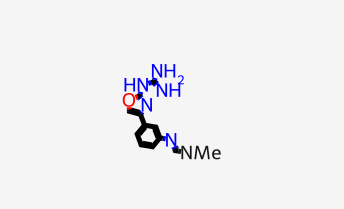 CN/C=N/c1cccc(-c2coc(NC(=N)N)n2)c1